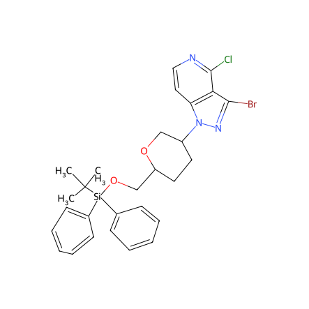 CC(C)(C)[Si](OCC1CCC(n2nc(Br)c3c(Cl)nccc32)CO1)(c1ccccc1)c1ccccc1